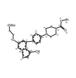 COCCOc1cc(-c2ccc(N3CCN(C(=O)OC(C)C)CC3)nc2)c2c(C#N)cnn2c1